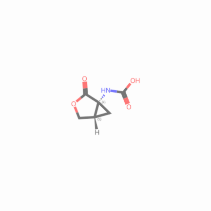 O=C(O)N[C@]12C[C@@H]1COC2=O